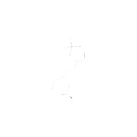 C[C@H]1CCCN(CCN2CCCC(F)(F)C2)C1